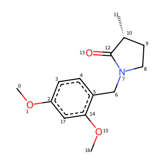 COc1ccc(CN2CC[C@@H](C)C2=O)c(OC)c1